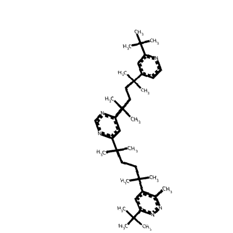 Cc1nnc(C(C)(C)C)cc1C(C)(C)CCC(C)(C)c1cc(C(C)(C)CCC(C)(C)c2ccnc(C(C)(C)C)c2)ncn1